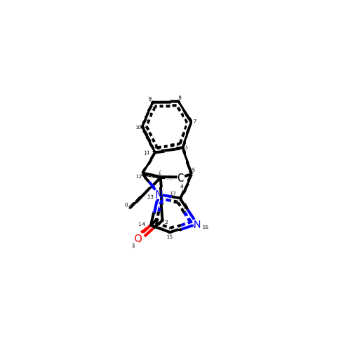 CC1(C=O)CC2c3ccccc3C1n1ccnc12